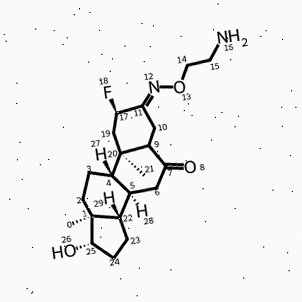 C[C@]12CC[C@H]3[C@@H](CC(=O)C4CC(=NOCCN)[C@H](F)C[C@@]43C)[C@@H]1CC[C@@H]2O